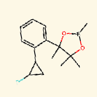 CB1OC(C)(C)C(C)(c2ccccc2C2CC2F)O1